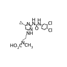 CN(CCCNc1cc(C2CC2)nc(NC(=O)Nc2ccc(Cl)c(Cl)c2)n1)C(=O)O